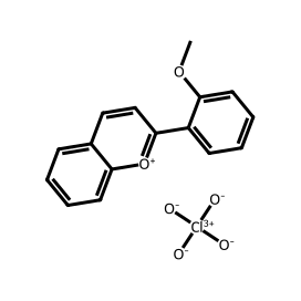 COc1ccccc1-c1ccc2ccccc2[o+]1.[O-][Cl+3]([O-])([O-])[O-]